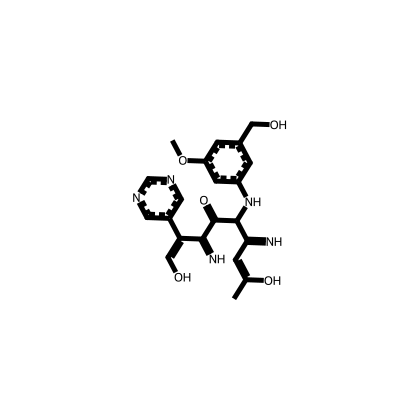 COc1cc(CO)cc(NC(C(=N)/C=C(/C)O)C(=O)C(=N)/C(=C\O)c2cncnc2)c1